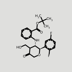 CC(C)(C)OC(=O)c1ccccc1N[C@H]1C(CO)C(=O)CO[C@@H]1c1cc(F)ccc1F